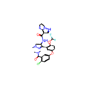 CN(C)C(=O)c1cc(Oc2ccc(OC(F)F)c(-c3nn(C)cc3NC(=O)c3cnn4cccnc34)c2)ccc1Cl